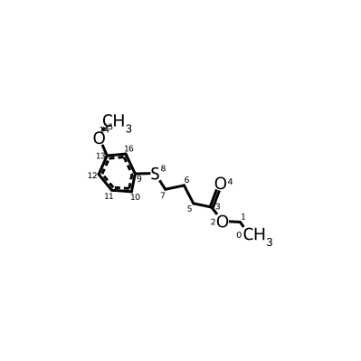 CCOC(=O)CCCSc1cccc(OC)c1